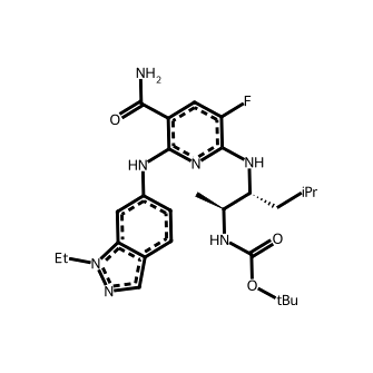 CCn1ncc2ccc(Nc3nc(N[C@H](CC(C)C)[C@H](C)NC(=O)OC(C)(C)C)c(F)cc3C(N)=O)cc21